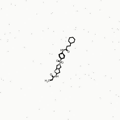 C=CC(=O)NC1CC2CN(S(=O)(=O)c3ccc(NC(=O)CCC4CCCCC4)cc3)CC2S1